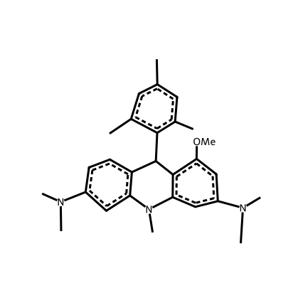 COc1cc(N(C)C)cc2c1C(c1c(C)cc(C)cc1C)c1ccc(N(C)C)cc1N2C